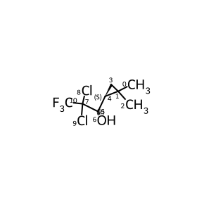 CC1(C)C[C@@H]1[C@@H](O)C(Cl)(Cl)C(F)(F)F